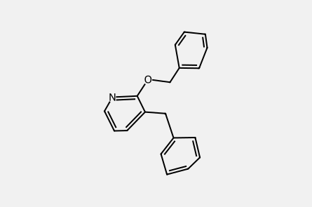 c1ccc(COc2ncccc2Cc2ccccc2)cc1